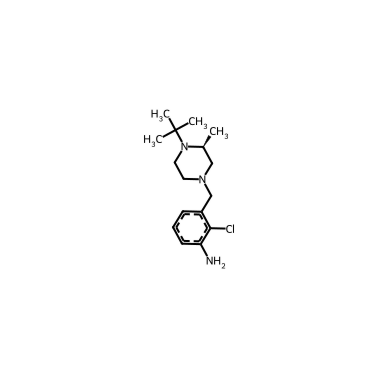 C[C@H]1CN(Cc2cccc(N)c2Cl)CCN1C(C)(C)C